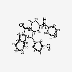 COc1cccc(Cn2c(C(=O)N3CCC(Nc4ccncc4)CC3)cc3ccccc32)c1